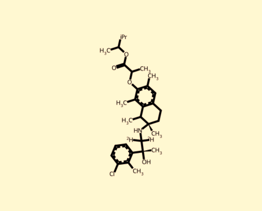 [2H]C([2H])(N[C@@]1(C)CCc2cc(C)c(OC(C)C(=O)OC(C)C(C)C)c(C)c2C1C)[C@](C)(O)c1cccc(Cl)c1C